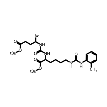 CC(=O)C(CCC(=O)OC(C)(C)C)NC(=O)NC(CCCCNC(=O)Nc1ccccc1C)C(=O)OC(C)(C)C